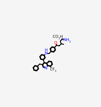 CC(CC(=O)c1ccc(CNc2cccc(-c3c(Cc4ccccc4)cnc4c(C(F)(F)F)cccc34)c2)cc1)C[C@@H](N)C(=O)O